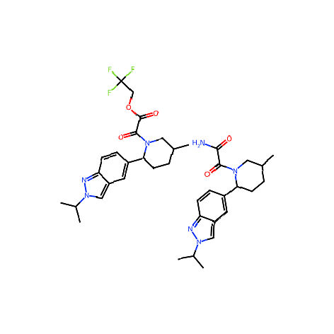 CC1CCC(c2ccc3nn(C(C)C)cc3c2)N(C(=O)C(=O)OCC(F)(F)F)C1.CC1CCC(c2ccc3nn(C(C)C)cc3c2)N(C(=O)C(N)=O)C1